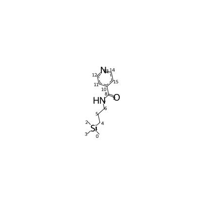 C[Si](C)(C)CCCNC(=O)c1ccncc1